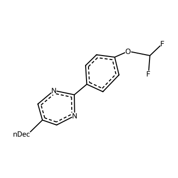 CCCCCCCCCCc1cnc(-c2ccc(OC(F)F)cc2)nc1